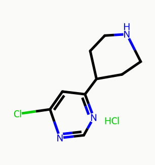 Cl.Clc1cc(C2CCNCC2)ncn1